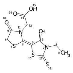 CCN1C(=O)/C(=C2/SCC(=O)N2CC(=O)O)SC1=S